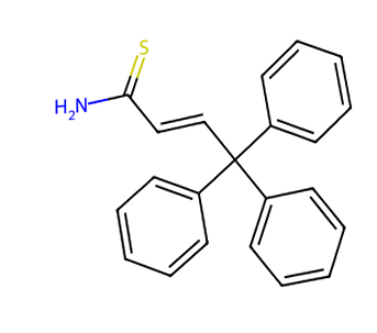 NC(=S)C=CC(c1ccccc1)(c1ccccc1)c1ccccc1